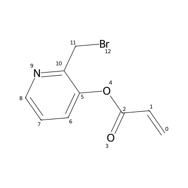 C=CC(=O)Oc1cccnc1CBr